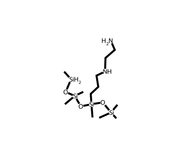 C[SiH2]O[Si](C)(C)O[Si](C)(CCCNCCN)O[Si](C)(C)C